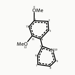 COc1ccc(-c2ccccn2)c(OC)c1